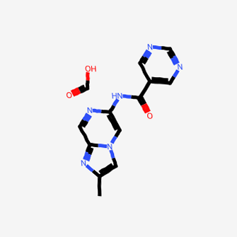 Cc1cn2cc(NC(=O)c3cncnc3)ncc2n1.O=CO